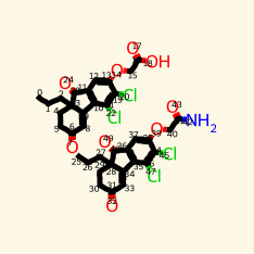 CCCC12CCC(=O)C=C1c1c(cc(OCC(=O)O)c(Cl)c1Cl)C2=O.CCCC12CCC(=O)C=C1c1c(cc(OCC(N)=O)c(Cl)c1Cl)C2=O